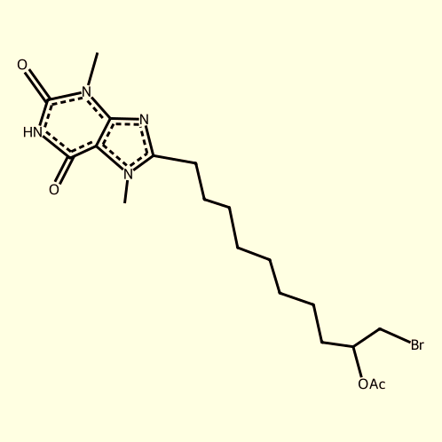 CC(=O)OC(CBr)CCCCCCCCc1nc2c(c(=O)[nH]c(=O)n2C)n1C